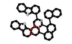 c1ccc(-c2cccc3ccc(-c4cccc5ccccc45)c(-c4nc(-c5cccc6c5oc5ccccc56)cc(-c5cccc6c5oc5ccccc56)n4)c23)cc1